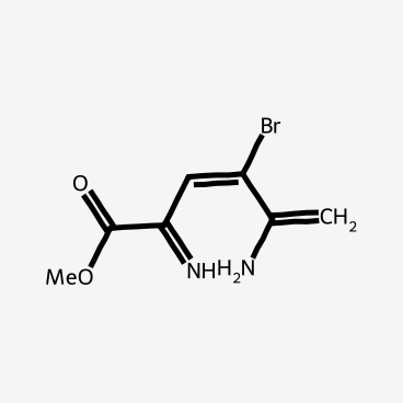 C=C(N)/C(Br)=C\C(=N)C(=O)OC